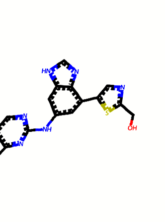 OCc1ncc(-c2cc(Nc3nccc(C(F)(F)F)n3)cc3[nH]cnc23)s1